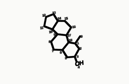 CC1CC(O)CC2CCC3C4CCCC4CCC3C12